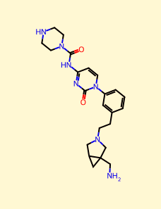 NCC12CC1CN(CCc1cccc(-n3ccc(NC(=O)N4CCNCC4)nc3=O)c1)C2